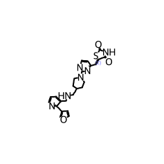 O=C1NC(=O)/C(=C/c2ccnc(N3CCC(CNCc4cccnc4-c4ccoc4)CC3)n2)S1